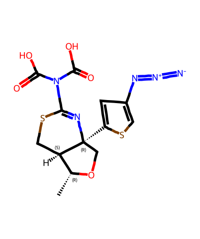 C[C@H]1OC[C@]2(c3cc(N=[N+]=[N-])cs3)N=C(N(C(=O)O)C(=O)O)SC[C@H]12